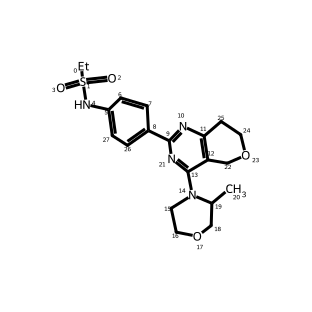 CCS(=O)(=O)Nc1ccc(-c2nc3c(c(N4CCOCC4C)n2)COCC3)cc1